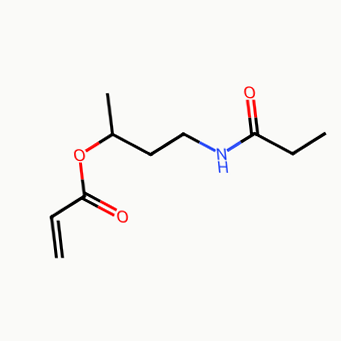 C=CC(=O)OC(C)CCNC(=O)CC